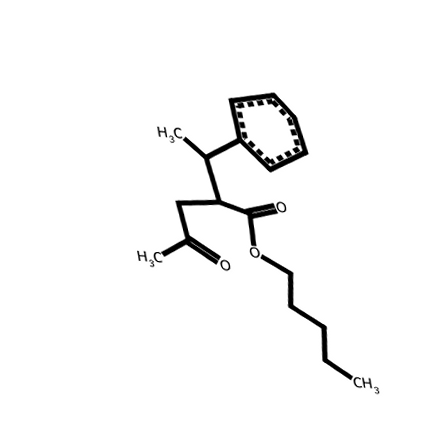 CCCCCOC(=O)C(CC(C)=O)C(C)c1ccccc1